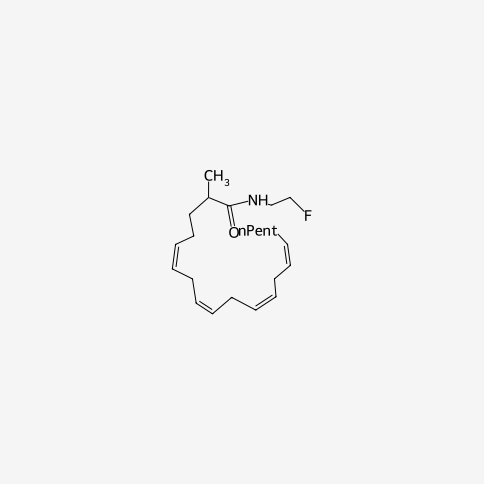 CCCCC/C=C\C/C=C\C/C=C\C/C=C\CCC(C)C(=O)NCCF